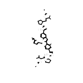 COC(=O)N[C@H](C(=O)C1CCC[C@H]1c1ncc(-c2ccc3c(c2)cc2n3C(c3ccc(C(F)(F)F)s3)Oc3cc(-c4cnc([C@@H]5CCCN5C(=O)[C@@H](NC(=O)OC)C(C)C)[nH]4)cc(F)c3-2)[nH]1)C(C)C